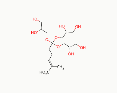 CC(=CCCC(OCC(O)CO)(OCC(O)CO)OCC(O)CO)C(=O)O